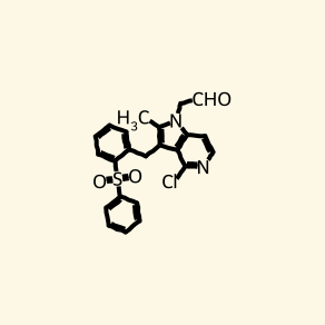 Cc1c(Cc2ccccc2S(=O)(=O)c2ccccc2)c2c(Cl)nccc2n1CC=O